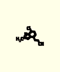 Cn1cc2c(/C=C/C#N)ccc(Cl)c2n1